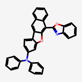 c1ccc(N(c2ccccc2)c2ccc3c(c2)oc2c(-c4nc5ccccc5o4)c4ccccc4cc23)cc1